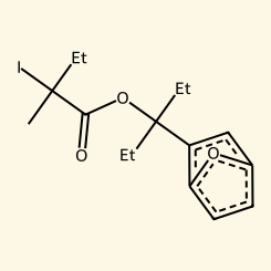 CCC(C)(I)C(=O)OC(CC)(CC)c1cc2ccc1o2